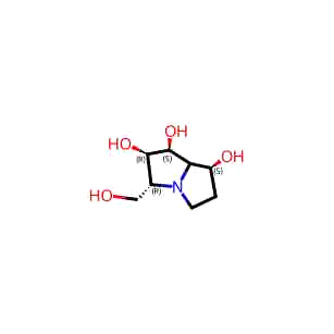 OC[C@@H]1[C@@H](O)[C@@H](O)C2[C@@H](O)CCN21